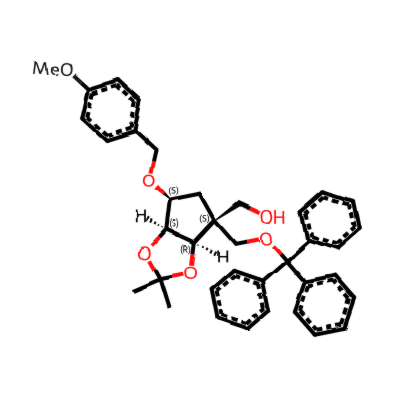 COc1ccc(CO[C@H]2C[C@](CO)(COC(c3ccccc3)(c3ccccc3)c3ccccc3)[C@H]3OC(C)(C)O[C@@H]23)cc1